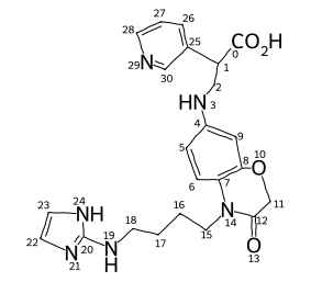 O=C(O)C(CNc1ccc2c(c1)OCC(=O)N2CCCCNc1ncc[nH]1)c1cccnc1